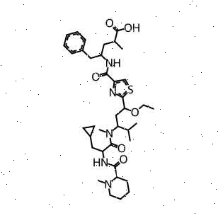 CCOC(CC(C(C)C)N(C)C(=O)C(CC1CC1)NC(=O)[C@H]1CCCCN1C)c1nc(C(=O)NC(Cc2ccccc2)CC(C)C(=O)O)cs1